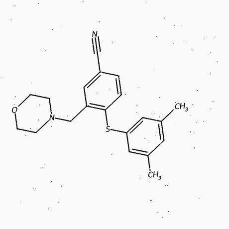 Cc1cc(C)cc(Sc2ccc(C#N)cc2CN2CCOCC2)c1